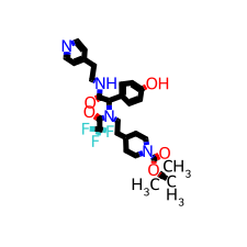 CC(C)(C)OC(=O)N1CCC(CCN(C(=O)C(F)(F)F)C(C(=O)NCCc2ccncc2)c2ccc(O)cc2)CC1